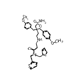 COc1ccc(CC(CCNCCC(=O)N(Cc2cccs2)Cc2cccs2)(Cc2ccc(OC)cc2)CS(N)(=O)=O)cc1